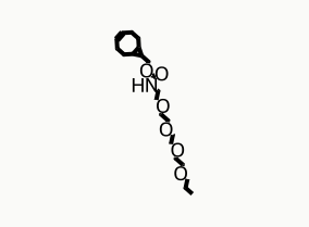 CCCOCCOCCOCCOCCNC(=O)OCC1C2CCC#CCCC21